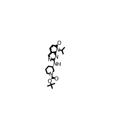 CC(C)n1c(=O)ccc2cnc(N[C@H]3CCCN(C(=O)OC(C)(C)C)C3)nc21